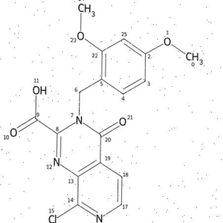 COc1ccc(Cn2c(C(=O)O)nc3c(Cl)nccc3c2=O)c(OC)c1